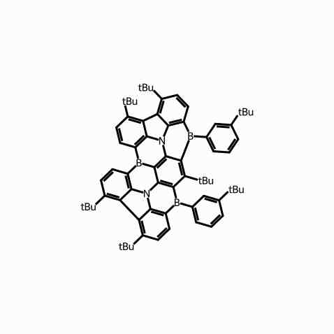 CC(C)(C)c1cccc(B2c3c4c5c6c(c3C(C)(C)C)B(c3cccc(C(C)(C)C)c3)c3ccc(C(C)(C)C)c7c8c(C(C)(C)C)ccc(c8n-6c37)B5c3ccc(C(C)(C)C)c5c6c(C(C)(C)C)ccc2c6n-4c35)c1